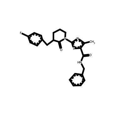 Cc1nc(N2CCCC(Cc3ccc(F)cc3)C2=O)sc1C(=O)NCc1ccccc1